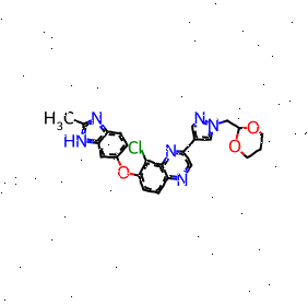 Cc1nc2ccc(Oc3ccc4ncc(-c5cnn(CC6OCCCO6)c5)nc4c3Cl)cc2[nH]1